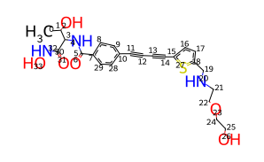 CC(O)C(NC(=O)c1ccc(C#CC#Cc2ccc(CNCCOCCO)s2)cc1)C(=O)NO